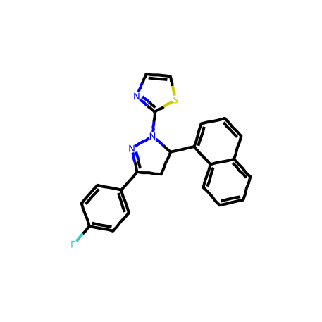 Fc1ccc(C2=NN(c3nccs3)C(c3cccc4ccccc34)C2)cc1